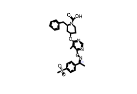 C/C(=N/Oc1ncnc(OC2CCN(C(=O)O)C(Cc3ccccc3)C2)c1C)c1ccc(S(C)(=O)=O)cc1